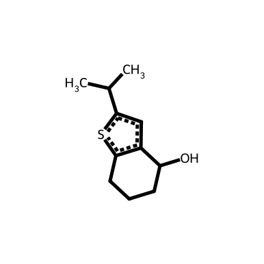 CC(C)c1cc2c(s1)CCCC2O